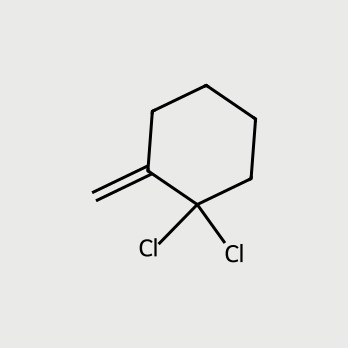 C=C1CCCCC1(Cl)Cl